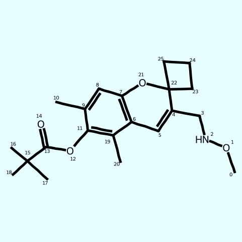 CONCC1=Cc2c(cc(C)c(OC(=O)C(C)(C)C)c2C)OC12CCC2